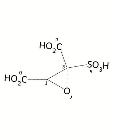 O=C(O)C1OC1(C(=O)O)S(=O)(=O)O